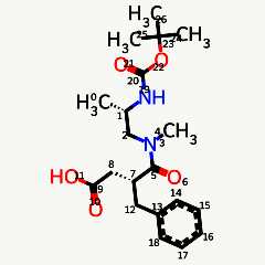 C[C@@H](CN(C)C(=O)[C@@H](CC(=O)O)Cc1ccccc1)NC(=O)OC(C)(C)C